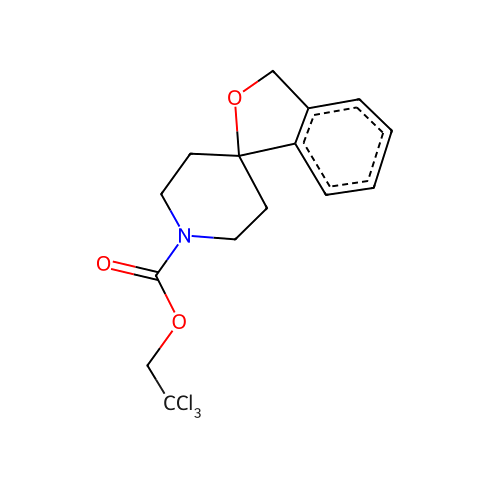 O=C(OCC(Cl)(Cl)Cl)N1CCC2(CC1)OCc1ccccc12